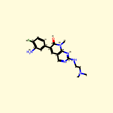 CN(C)CCNc1ncc2cc(-c3ccc(F)c(N)c3)c(=O)n(C)c2n1